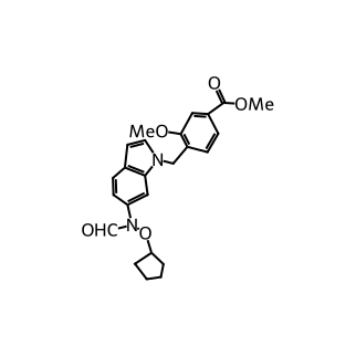 COC(=O)c1ccc(Cn2ccc3ccc(N(C=O)OC4CCCC4)cc32)c(OC)c1